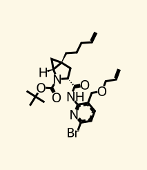 C=CCCC[C@@]12C[C@H](C(=O)Nc3nc(Br)ccc3COCC=C)N(C(=O)OC(C)(C)C)[C@@H]1C2